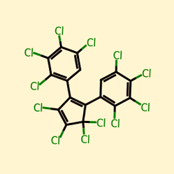 ClC1=C(Cl)C(Cl)(Cl)C(c2cc(Cl)c(Cl)c(Cl)c2Cl)=C1c1cc(Cl)c(Cl)c(Cl)c1Cl